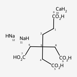 O=C(O)CCC(CC(=O)O)(CC(=O)O)CC(=O)O.[CaH2].[NaH].[NaH]